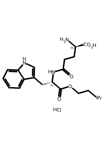 CC(C)CCOC(=O)[C@H](Cc1c[nH]c2ccccc12)NC(=O)CC[C@@H](N)C(=O)O.Cl